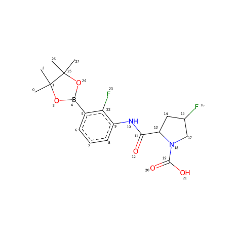 CC1(C)OB(c2cccc(NC(=O)C3CC(F)CN3C(=O)O)c2F)OC1(C)C